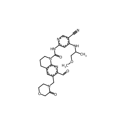 COCC(C)Nc1cc(NC(=O)N2CCCc3cc(CN4CCOCC4=O)c(C=O)nc32)ncc1C#N